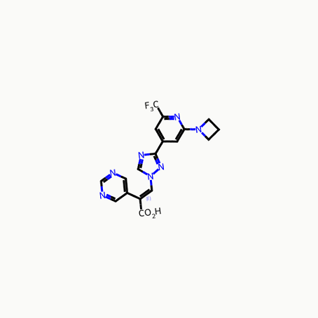 O=C(O)/C(=C/n1cnc(-c2cc(N3CCC3)nc(C(F)(F)F)c2)n1)c1cncnc1